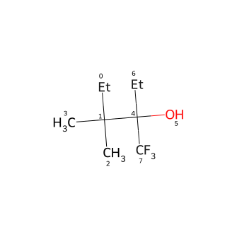 CCC(C)(C)C(O)(CC)C(F)(F)F